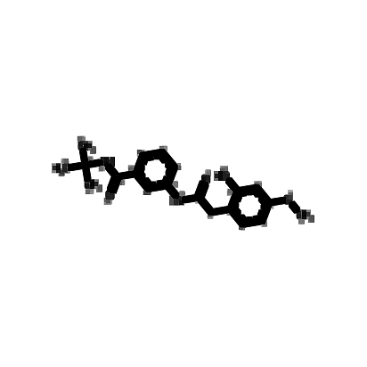 COc1ccc(CC(=O)Nc2cccc(C(=O)NC(C)(C)C)c2)c(O)c1